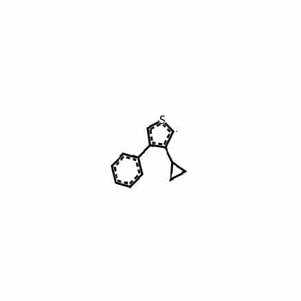 [c]1scc(-c2ccccc2)c1C1CC1